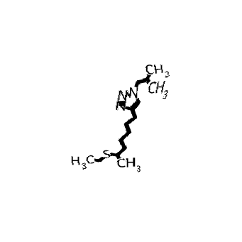 CCSC(C)CCCCCc1cn(CC(C)C)nn1